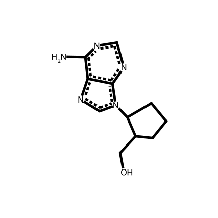 Nc1ncnc2c1ncn2C1CCCC1CO